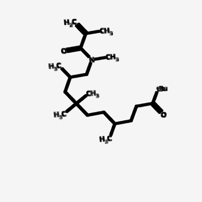 C=C(C)C(=O)N(C)CC(C)CC(C)(C)CCC(C)CCC(=O)C(C)(C)C